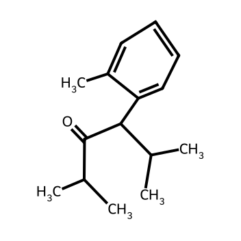 Cc1ccccc1C(C(=O)C(C)C)C(C)C